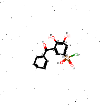 O=C(c1ccccc1)c1cc(S(=O)(=O)Cl)cc(O)c1O